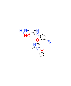 Cc1nc(Oc2cc(C#N)ccc2-n2cc([C@@H](O)CN)cn2)cc(OC2CCCC2)n1